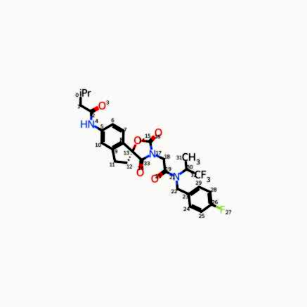 CC(C)CC(=O)Nc1ccc2c(c1)CC[C@@]21OC(=O)N(CC(=O)N(Cc2ccc(F)cc2)C(C)C(F)(F)F)C1=O